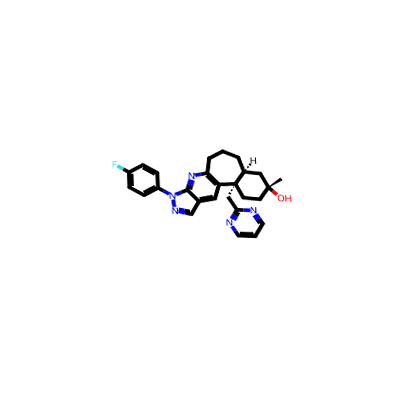 C[C@@]1(O)CC[C@@]2(Cc3ncccn3)c3cc4cnn(-c5ccc(F)cc5)c4nc3CCC[C@H]2C1